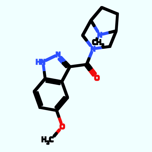 COc1ccc2[nH]nc(C(=O)N3CC4CCC(C3)N4C)c2c1